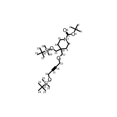 CC(C)(C)OC(=O)N1CCC(COCC#CCO[Si](C)(C)C(C)(C)C)(CO[Si](C)(C)C(C)(C)C)CC1